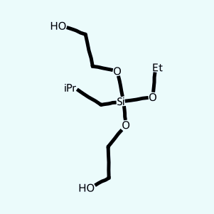 CCO[Si](CC(C)C)(OCCO)OCCO